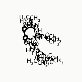 CC(C)(C)OC(=O)NCCC[C@@H](CNC(=O)[C@H](CO)NC(=O)[C@@H]1Cc2cc(ccc2O)-c2ccc(O)c(c2)C[C@H](NC(=O)OC(C)(C)C)C(=O)N[C@@H](CCCNC(=O)OC(C)(C)C)C(=O)N1)NC(=O)OC(C)(C)C